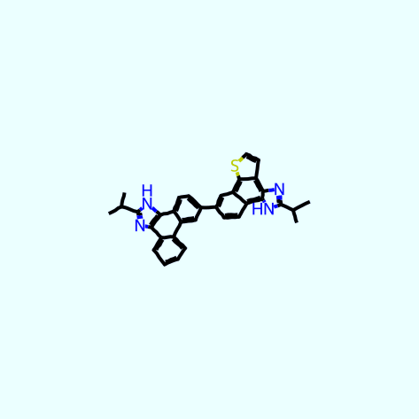 CC(C)c1nc2c3ccccc3c3cc(-c4ccc5c(c4)c4sccc4c4nc(C(C)C)[nH]c54)ccc3c2[nH]1